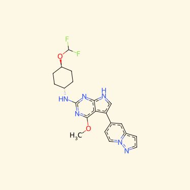 COc1nc(N[C@H]2CC[C@H](OC(F)F)CC2)nc2[nH]cc(-c3ccn4nccc4c3)c12